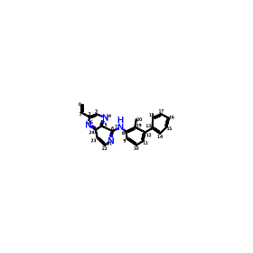 C=Cc1cnc2c(Nc3cccc(-c4ccccc4)c3C)nccc2n1